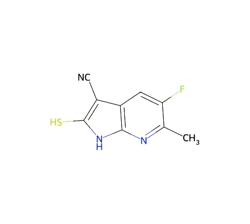 Cc1nc2[nH]c(S)c(C#N)c2cc1F